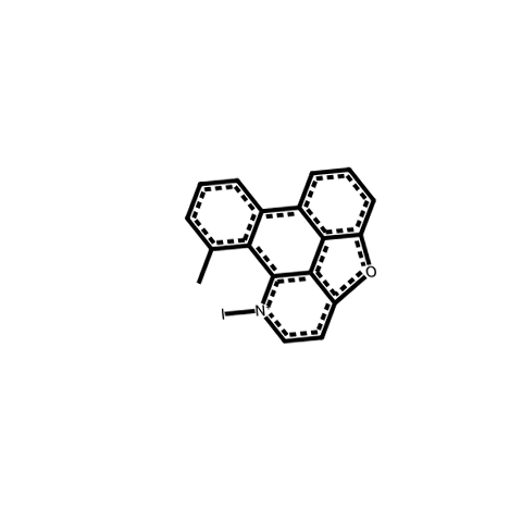 Cc1cccc2c3cccc4oc5cc[n+](I)c(c12)c5c43